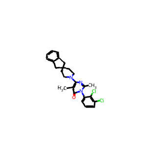 Cc1c(N2CCC3(CC2)Cc2ccccc2C3)nc(C)n(-c2cccc(Cl)c2Cl)c1=O